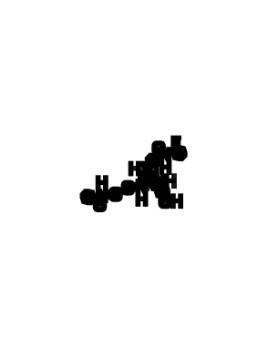 O=C(NCCOCCOCCNc1nc(Nc2ccc(O)cc2)nc(Nc2ccc(C(=O)NCc3ccccc3F)cc2)n1)c1ccccc1